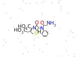 NCC(=O)N(c1ccccc1)[C@@H]1C(=O)N2C(C(=O)O)=C(CC(=O)O)CS[C@@H]12